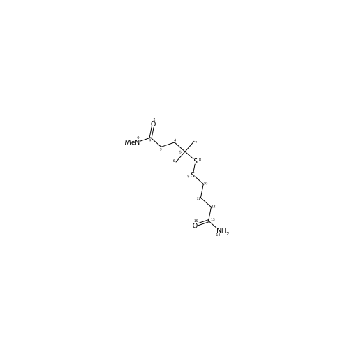 CNC(=O)CCC(C)(C)SSCCCC(N)=O